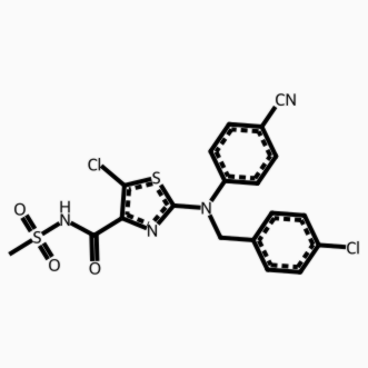 CS(=O)(=O)NC(=O)c1nc(N(Cc2ccc(Cl)cc2)c2ccc(C#N)cc2)sc1Cl